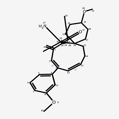 C=C1/C=C(c2cccc(OC)c2)\C=C/CCC2(CCC(OC)CC2)C12N=C(N)N(C)C2=O